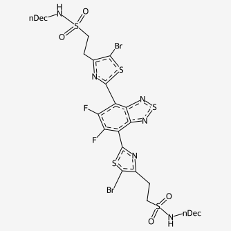 CCCCCCCCCCNS(=O)(=O)CCc1nc(-c2c(F)c(F)c(-c3nc(CCS(=O)(=O)NCCCCCCCCCC)c(Br)s3)c3nsnc23)sc1Br